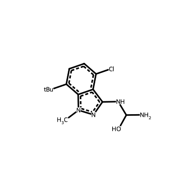 Cn1nc(NC(N)O)c2c(Cl)ccc(C(C)(C)C)c21